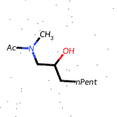 CCCCCCC(O)CN(C)C(C)=O